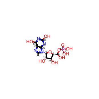 O=P(O)(O)OC(O)[C@H]1O[C@@H](n2cnc3c(O)nc(O)nc32)[C@@H](O)[C@@H]1O